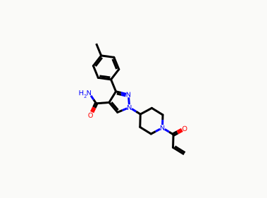 C=CC(=O)N1CCC(n2cc(C(N)=O)c(-c3ccc(C)cc3)n2)CC1